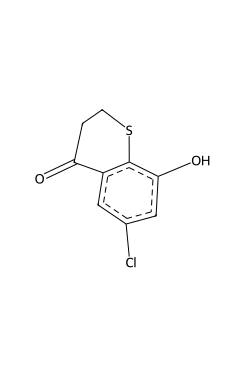 O=C1CCSc2c(O)cc(Cl)cc21